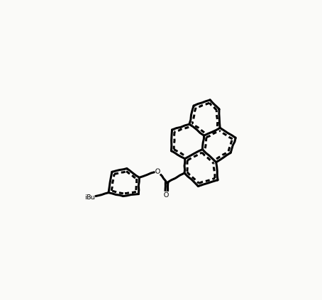 CCC(C)c1ccc(OC(=O)c2ccc3ccc4cccc5ccc2c3c45)cc1